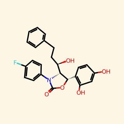 O=C1O[C@@H](c2ccc(O)cc2O)[C@@H]([C@H](O)CCc2ccccc2)N1c1ccc(F)cc1